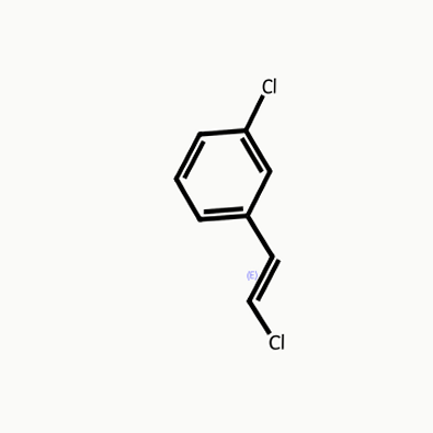 Cl/C=C/c1cccc(Cl)c1